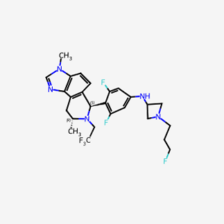 C[C@@H]1Cc2c(ccc3c2ncn3C)[C@@H](c2c(F)cc(NC3CN(CCCF)C3)cc2F)N1CC(F)(F)F